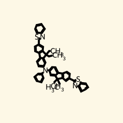 CCC1(CC)c2cc(-c3nc4ccccc4s3)ccc2-c2ccc(N(c3ccccc3)c3ccc4c(c3)C(CC)(CC)c3cc(-c5nc6ccccc6s5)ccc3-4)cc21